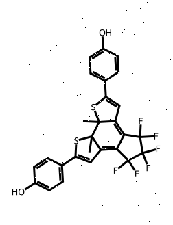 CC12SC(c3ccc(O)cc3)=CC1=C1C(=C3C=C(c4ccc(O)cc4)SC32C)C(F)(F)C(F)(F)C1(F)F